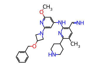 COc1cc(Nc2nc(C3CCNCC3)c(C)cc2C=N)cc(N2CC(OCc3ccccc3)C2)n1